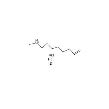 C=CCCCCCC[SiH2]C.Cl.Cl.[Zr]